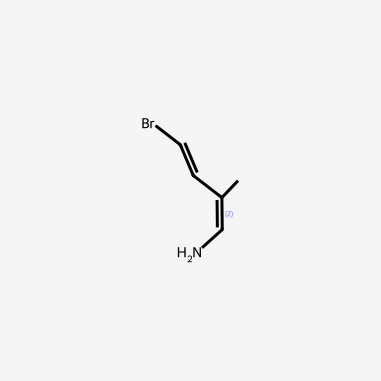 C/C(C=CBr)=C/N